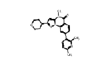 Cc1ccc(-c2ccc3c(=O)n(C)c4cc(C5CCOCC5)nn4c3c2)c(C)n1